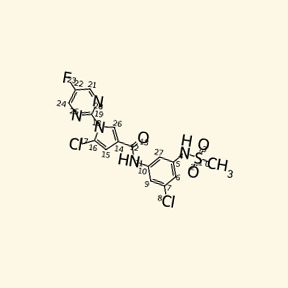 CS(=O)(=O)Nc1cc(Cl)cc(NC(=O)c2cc(Cl)n(-c3ncc(F)cn3)c2)c1